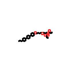 C=CC(=O)OCC(COCCCCOC1CCC(C2CCC(C3CCC(CCC)CC3)CC2)CC1)OC(=O)C=C